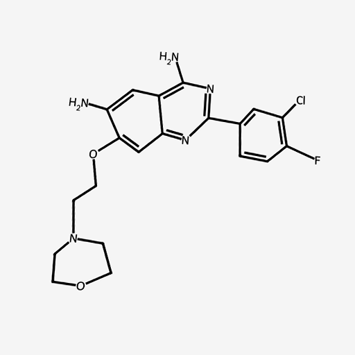 Nc1cc2c(N)nc(-c3ccc(F)c(Cl)c3)nc2cc1OCCN1CCOCC1